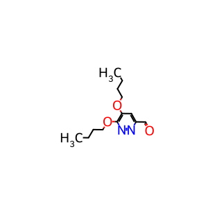 CCCCOc1cc(C=O)nnc1OCCCC